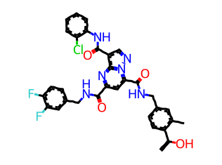 C=C(O)c1ccc(CNC(=O)c2cc(C(=O)NCc3ccc(F)c(F)c3)nc3c(C(=O)Nc4ccccc4Cl)cnn23)cc1C